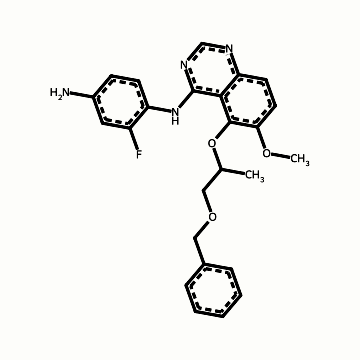 COc1ccc2ncnc(Nc3ccc(N)cc3F)c2c1OC(C)COCc1ccccc1